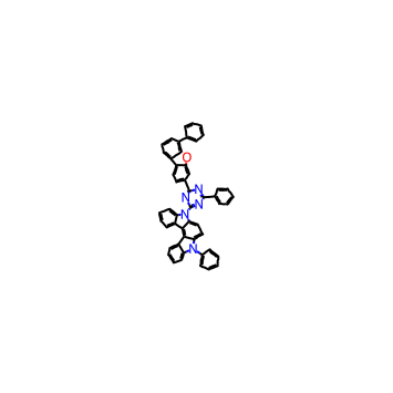 c1ccc(-c2nc(-c3ccc4c(c3)oc3c(-c5ccccc5)cccc34)nc(-n3c4ccccc4c4c5c6ccccc6n(-c6ccccc6)c5ccc43)n2)cc1